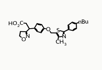 CCCCc1ccc(-c2nc(C)c(COc3ccc(C(CC(=O)O)C4=NOCC4)cc3)s2)cc1